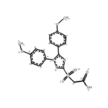 COc1ccc(-c2nc(S(=O)(=O)CC(=O)O)nn2-c2ccc(OC)cc2)cc1